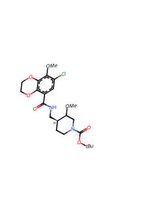 COc1c(Cl)cc(C(=O)NC[C@@H]2CCN(C(=O)OC(C)(C)C)CC2OC)c2c1OCCO2